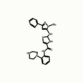 CC(C)(C)n1nc(-c2ccccc2)cc1NC1NC(C(=O)Nc2ccccc2N2CCNCC2)=CS1